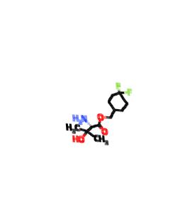 CC(C)(O)[C@H](N)C(=O)OCC1CCC(F)(F)CC1